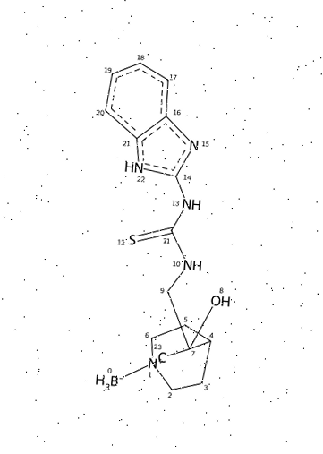 [BH3-][N+]12CCC(CC1)C(O)(CNC(=S)Nc1nc3ccccc3[nH]1)C2